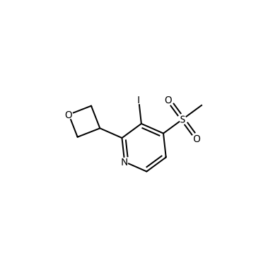 CS(=O)(=O)c1ccnc(C2COC2)c1I